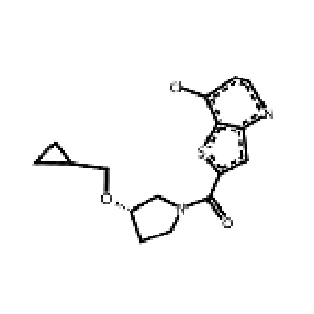 O=C(c1cc2nccc(Cl)c2s1)N1CC[C@H](OCC2CC2)C1